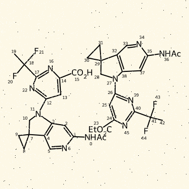 CC(=O)Nc1cc2c(cn1)C1(CC1)CN2c1cc(C(=O)O)nc(C(C)(F)F)n1.CCOC(=O)c1cc(N2CC3(CC3)c3cnc(NC(C)=O)cc32)nc(C(C)(F)F)n1